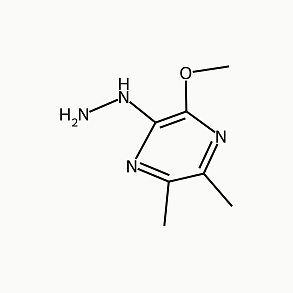 COc1nc(C)c(C)nc1NN